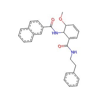 COC1C=CC=C(C(=O)NCCc2ccccc2)C1NC(=O)c1ccc2ccccc2c1